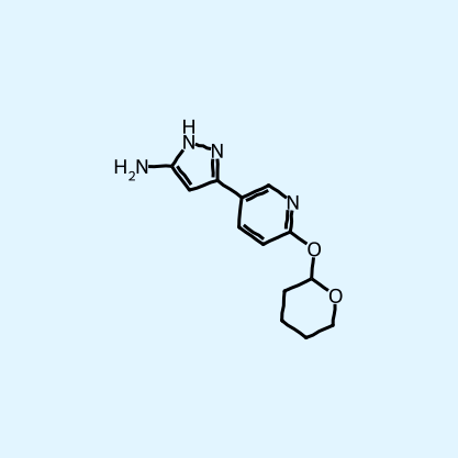 Nc1cc(-c2ccc(OC3CCCCO3)nc2)n[nH]1